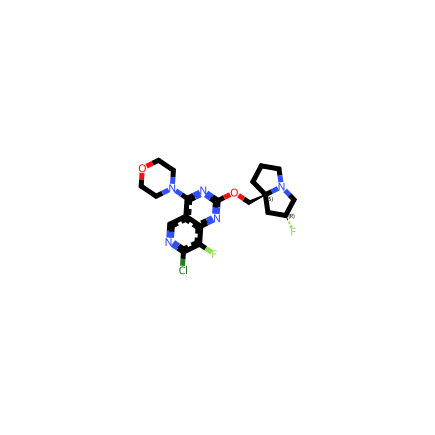 Fc1c(Cl)ncc2c(N3CCOCC3)nc(OC[C@@]34CCCN3C[C@H](F)C4)nc12